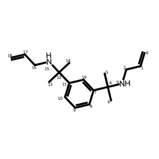 C=CCNC(C)(C)c1cccc(C(C)(C)NCC=C)c1